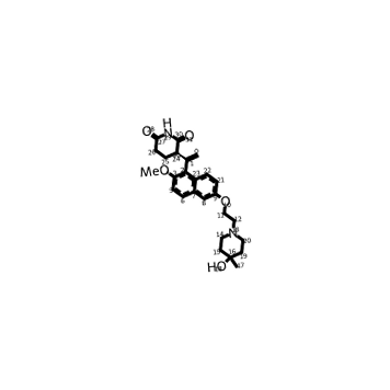 C=C(c1c(OC)ccc2cc(OCCN3CCC(C)(O)CC3)ccc12)[C@H]1CCC(=O)NC1=O